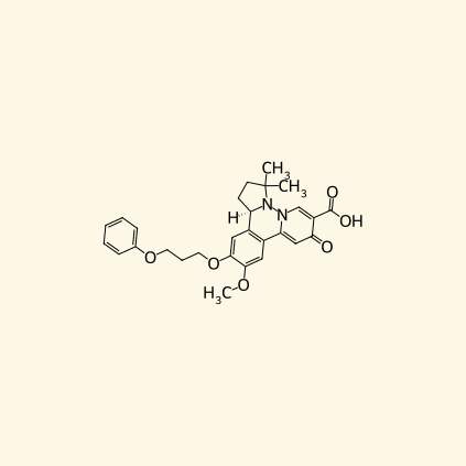 COc1cc2c(cc1OCCCOc1ccccc1)[C@H]1CCC(C)(C)N1n1cc(C(=O)O)c(=O)cc1-2